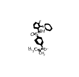 CN(C)[S+]([O-])c1ccc([S+]([O-])Nc2cccc(F)c2N2CCCCC2)cc1